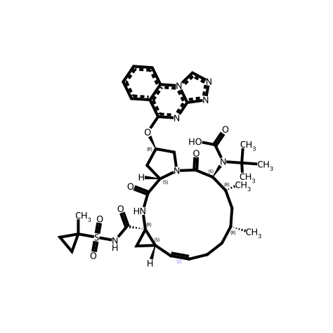 C[C@@H]1CC/C=C\[C@@H]2C[C@@]2(C(=O)NS(=O)(=O)C2(C)CC2)NC(=O)[C@@H]2C[C@@H](Oc3nc4nncn4c4ccccc34)CN2C(=O)[C@@H](N(C(=O)O)C(C)(C)C)[C@H](C)C1